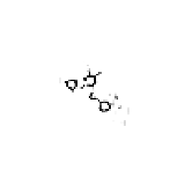 CCOc1ccc(-c2ccc(-c3cc(C(F)(F)F)c(C#N)c(=O)n3Cc3ccc(F)cc3F)o2)cc1N(C(=O)O)C(C)(C)C